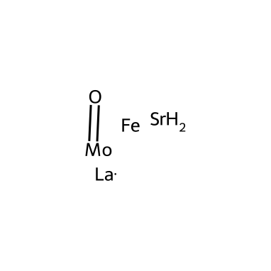 [Fe].[La].[O]=[Mo].[SrH2]